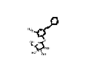 COc1cc(C=Cc2ccccc2)cc(OC2O[C@H](CO)[C@@H](O)[C@H](O)[C@H]2O)c1